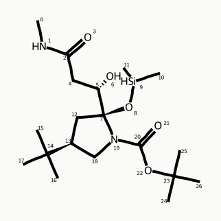 CNC(=O)C[C@H](O)[C@@]1(O[SiH](C)C)C[C@H](C(C)(C)C)CN1C(=O)OC(C)(C)C